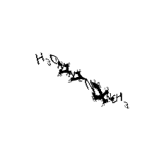 CN1CC(N2CC(N3CC4(CN(C)C4)C3)C2)C1